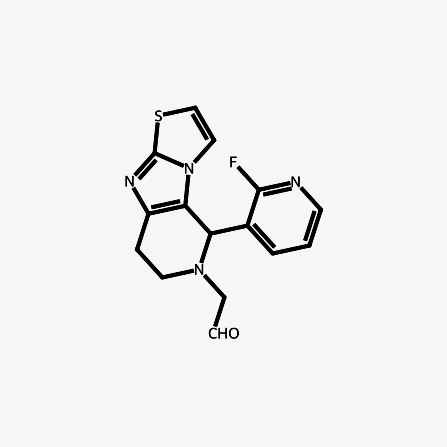 O=CCN1CCc2nc3sccn3c2C1c1cccnc1F